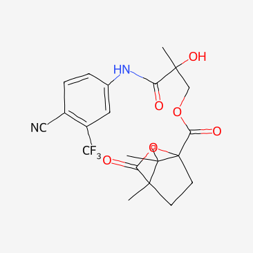 CC(O)(COC(=O)C12CCC(C)(C(=O)O1)C2(C)C)C(=O)Nc1ccc(C#N)c(C(F)(F)F)c1